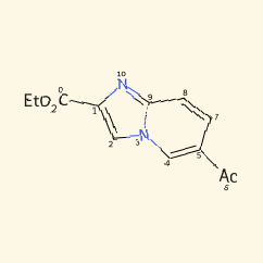 CCOC(=O)c1cn2cc(C(C)=O)ccc2n1